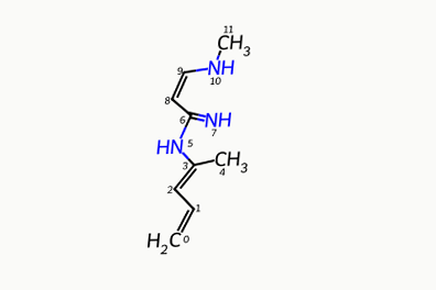 C=C/C=C(\C)NC(=N)/C=C\NC